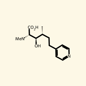 CN[C@H](C(=O)O)[C@H](O)[C@H](C)CCc1ccncc1